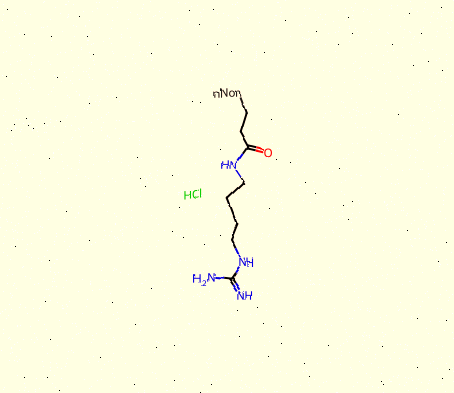 CCCCCCCCCCCC(=O)NCCCCNC(=N)N.Cl